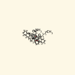 CCCCCC(=O)[C](c1ccccc1-c1ccccc1)[C@]1(NC(=O)[C@H](CC(N)=O)NC(=O)c2ccc3ccccc3n2)O[C@]1(C)C(N)=O